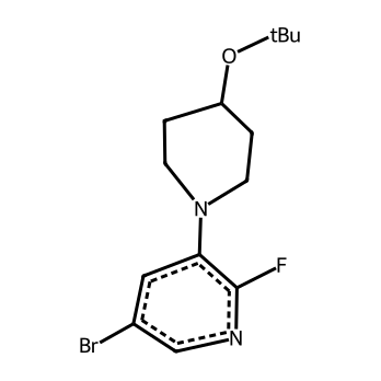 CC(C)(C)OC1CCN(c2cc(Br)cnc2F)CC1